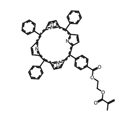 C=C(C)C(=O)OCCOC(=O)c1ccc(-c2c3nc(c(-c4ccccc4)c4ccc([nH]4)c(-c4ccccc4)c4nc(c(-c5ccccc5)c5ccc2[nH]5)C=C4)C=C3)cc1